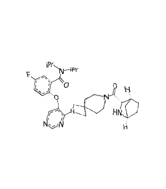 CC(C)N(C(=O)c1cc(F)ccc1Oc1cncnc1N1CC2(CCN(C(=O)[C@H]3N[C@@H]4CC[C@H]3C4)CC2)C1)C(C)C